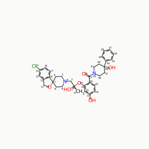 C[C@@](O)(CN1CCC2(CC1)OCc1cc(Cl)ccc12)Oc1cc(O)ccc1C(=O)N1CCC(O)(c2ccccc2)CC1